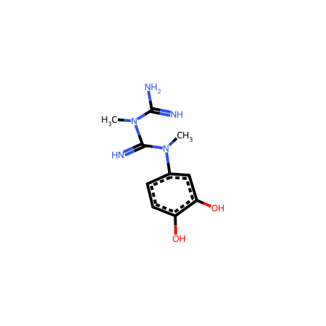 CN(C(=N)N)C(=N)N(C)c1ccc(O)c(O)c1